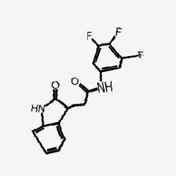 O=C(CC1C(=O)Nc2ccccc21)Nc1cc(F)c(F)c(F)c1